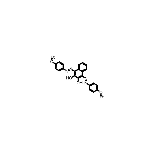 CCOc1ccc(N=Nc2c(O)c(O)c(N=Nc3ccc(OCC)cc3)c3ccccc23)cc1